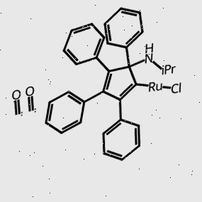 CC(C)NC1(c2ccccc2)[C]([Ru][Cl])=C(c2ccccc2)C(c2ccccc2)=C1c1ccccc1.[C]=O.[C]=O